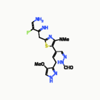 CNc1nc(CC(=N)/C(F)=C\N)sc1C(/C=N\NC=O)=C/Cc1n[nH]cc1OC